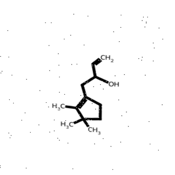 C=CC(O)CC1=C(C)C(C)(C)CC1